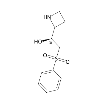 O=S(=O)(C[C@@H](O)C1CCN1)c1ccccc1